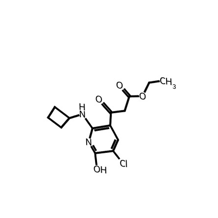 CCOC(=O)CC(=O)c1cc(Cl)c(O)nc1NC1CCC1